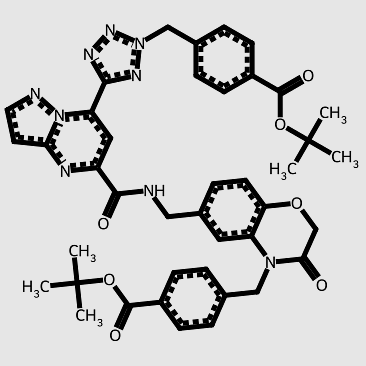 CC(C)(C)OC(=O)c1ccc(CN2C(=O)COc3ccc(CNC(=O)c4cc(-c5nnn(Cc6ccc(C(=O)OC(C)(C)C)cc6)n5)n5nccc5n4)cc32)cc1